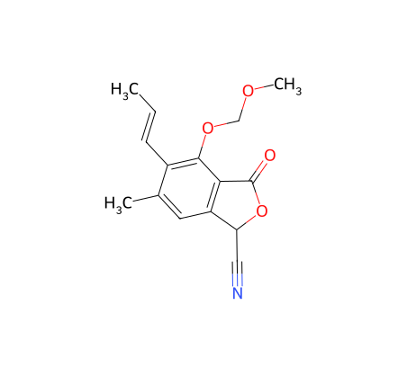 CC=Cc1c(C)cc2c(c1OCOC)C(=O)OC2C#N